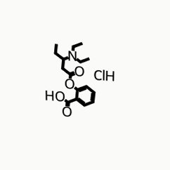 CCC(CC(=O)Oc1ccccc1C(=O)O)N(CC)CC.Cl